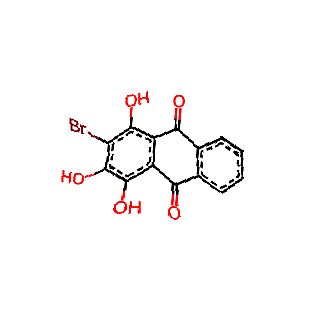 O=C1c2ccccc2C(=O)c2c(O)c(Br)c(O)c(O)c21